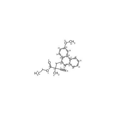 CCOC(=O)C(C)(C#N)Cc1nc2ccccc2c2cc(OC)ccc12